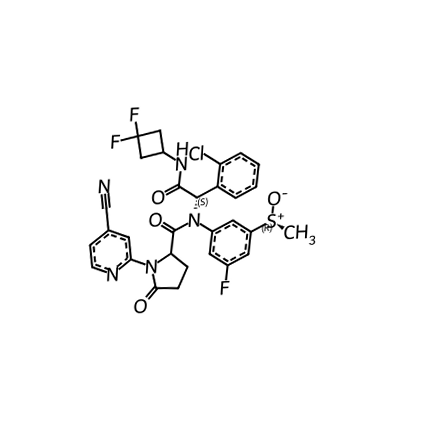 C[S@+]([O-])c1cc(F)cc(N(C(=O)C2CCC(=O)N2c2cc(C#N)ccn2)[C@H](C(=O)NC2CC(F)(F)C2)c2ccccc2Cl)c1